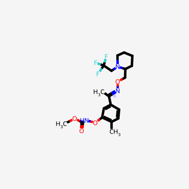 COC(=O)NOc1cc(/C(C)=N/OCC2CCCCN2CC(F)(F)F)ccc1C